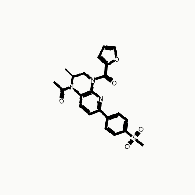 CC(=O)N1c2ccc(-c3ccc(S(C)(=O)=O)cc3)nc2N(C(=O)c2ccco2)C[C@@H]1C